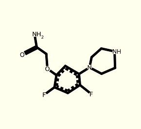 NC(=O)COc1cc(N2CCNCC2)c(F)cc1F